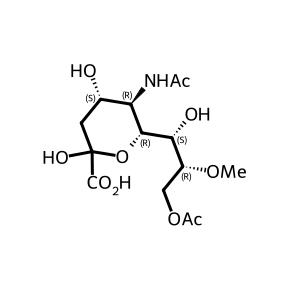 CO[C@H](COC(C)=O)[C@@H](O)[C@@H]1OC(O)(C(=O)O)C[C@H](O)[C@H]1NC(C)=O